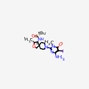 C[C@@H]1OCC2(CCN(c3nc(N)c(I)c(=O)n3C)CC2)[C@@H]1N[S@+]([O-])C(C)(C)C